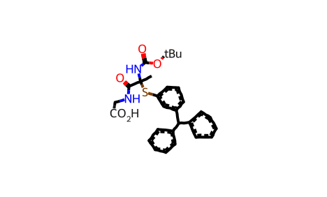 CC(C)(C)OC(=O)NC(C)(Sc1cccc(C(c2ccccc2)c2ccccc2)c1)C(=O)NCC(=O)O